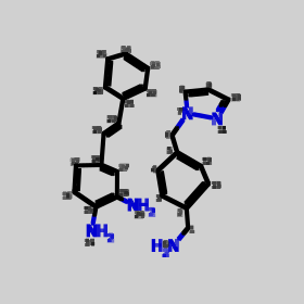 NCc1ccc(Cn2cccn2)cc1.Nc1ccc(C=Cc2ccccc2)cc1N